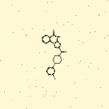 O=C(c1cc2[nH]c(=O)c3ccccc3n2c1)N1CCN(c2cccc(F)c2)CC1